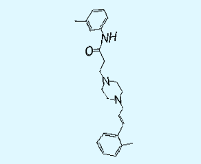 Cc1cccc(NC(=O)CCN2CCN(CC=Cc3ccccc3C)CC2)c1